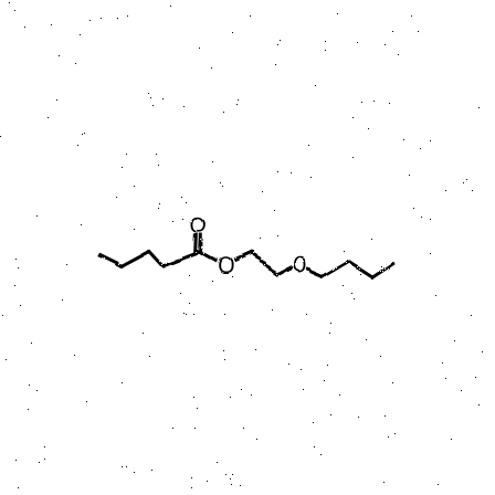 CCCCOCCOC(=O)CCCC